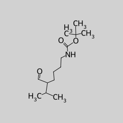 CC(C)C(C=O)CCCCNC(=O)OC(C)(C)C